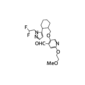 COCCOc1cc(C=O)c(OCC2CCCCC2c2ccnn2CC(F)F)cn1